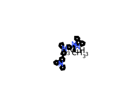 CC(C)(C)c1nc2c3ccccc3c3ccccc3c2nc1-c1ccc(N(c2ccccc2)c2ccc(-c3ccc4c(c3)c3ccccc3n4-c3ccccc3)cc2)cc1